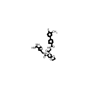 Cc1cc(-c2ccc(C(=O)NCC(=O)N3CC4(C[C@H]3C(=O)NCc3cc(C(=N)N)cs3)OCCO4)cc2)ccc1F